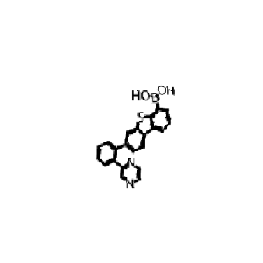 OB(O)c1cccc2c1sc1cc(-c3ccccc3-c3cnccn3)ccc12